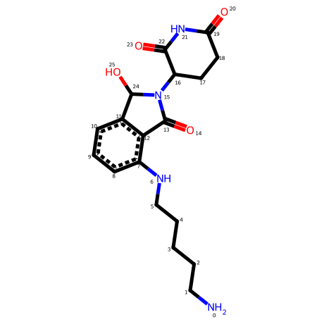 NCCCCCNc1cccc2c1C(=O)N(C1CCC(=O)NC1=O)C2O